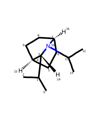 CC(C)[C@@H]1[C@H]2CC[C@H](CC2)N1C(C)C